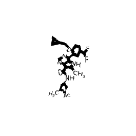 CC(=O)N1C[C@@H](NC(=O)c2c(C)[nH]c3c(-c4cc(C(F)F)ccc4OCC4CC4)ncnc23)C[C@@H]1C